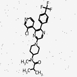 CC(C)C(=O)N(C)C1CCN(c2cnc(-c3ccc(C(F)(F)F)cc3)c(-c3ccncc3Cl)n2)CC1